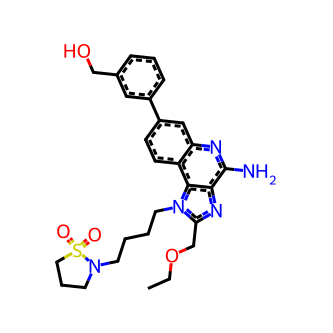 CCOCc1nc2c(N)nc3cc(-c4cccc(CO)c4)ccc3c2n1CCCCN1CCCS1(=O)=O